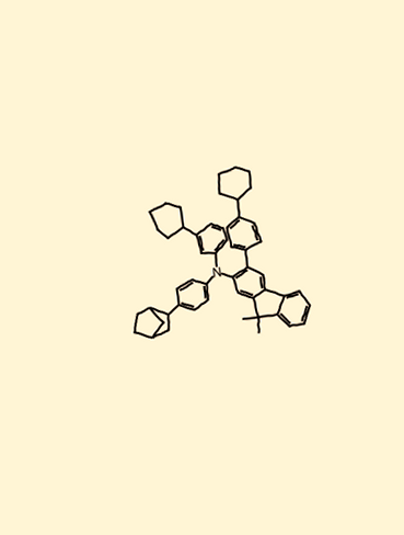 CC1(C)c2ccccc2-c2cc(-c3ccc(C4CCCCC4)cc3)c(N(c3ccc(C4CC5CCC4C5)cc3)c3cccc(C4CCCCC4)c3)cc21